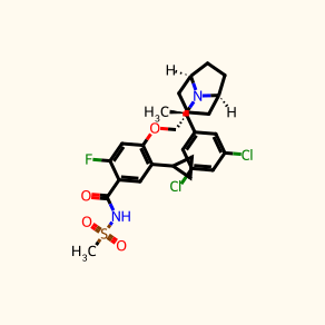 C[C@H](c1cc(Cl)cc(Cl)c1)N1[C@@H]2CC[C@H]1C[C@H](COc1cc(F)c(C(=O)NS(C)(=O)=O)cc1C1CC1)C2